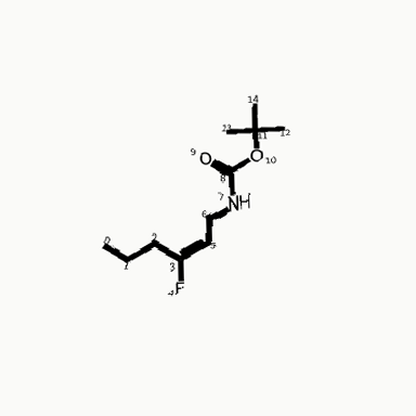 CCC/C(F)=C\CNC(=O)OC(C)(C)C